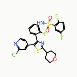 O=S(=O)(Nc1cccc(-c2nc(C3CCOCC3)sc2-c2ccnc(Cl)c2)c1F)c1cc(F)ccc1F